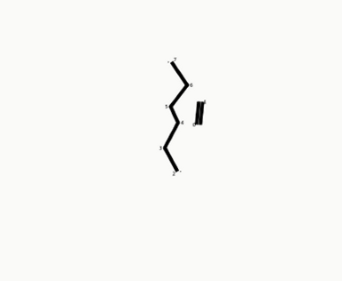 C=C.[CH2]CCCC[CH2]